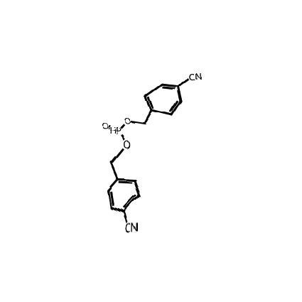 N#Cc1ccc(CO[PH](=O)OCc2ccc(C#N)cc2)cc1